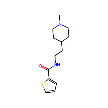 CN1CCC(CCNC(=O)c2cccs2)CC1